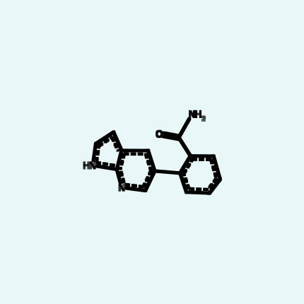 NC(=O)c1ccccc1-c1cnc2[nH]ccc2c1